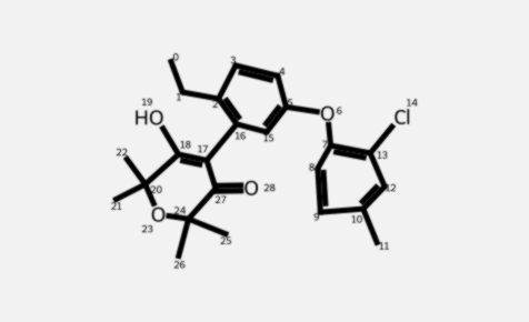 CCc1ccc(Oc2ccc(C)cc2Cl)cc1C1=C(O)C(C)(C)OC(C)(C)C1=O